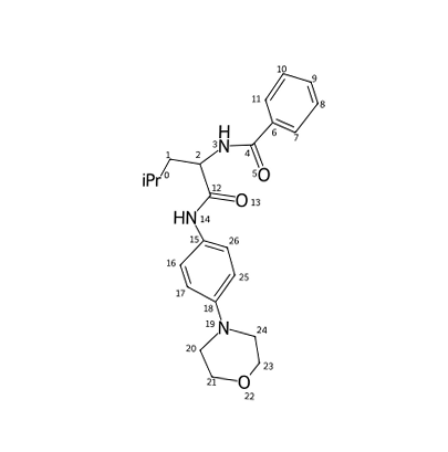 CC(C)CC(NC(=O)c1ccccc1)C(=O)Nc1ccc(N2CCOCC2)cc1